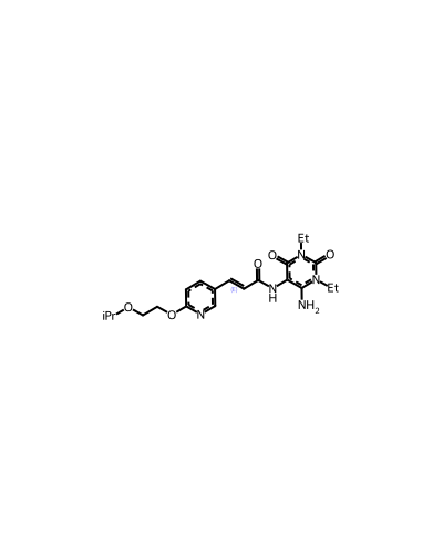 CCn1c(N)c(NC(=O)/C=C/c2ccc(OCCOC(C)C)nc2)c(=O)n(CC)c1=O